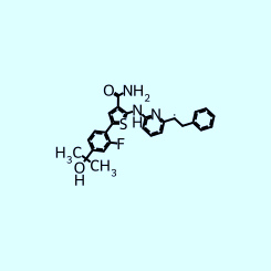 CC(C)(O)c1ccc(-c2cc(C(N)=O)c(Nc3cccc([CH]Cc4ccccc4)n3)s2)c(F)c1